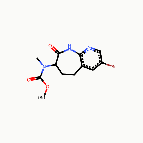 CN(C(=O)OC(C)(C)C)C1CCc2cc(Br)cnc2NC1=O